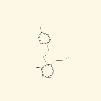 CCOCc1cccc([N+](=O)[O-])c1COc1ccc(O)cc1